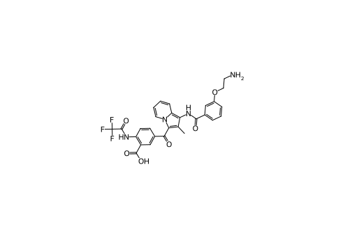 Cc1c(NC(=O)c2cccc(OCCN)c2)c2ccccn2c1C(=O)c1ccc(NC(=O)C(F)(F)F)c(C(=O)O)c1